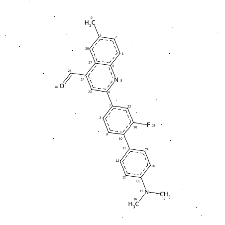 Cc1ccc2nc(-c3ccc(-c4ccc(N(C)C)cc4)c(F)c3)cc(C=O)c2c1